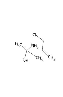 C=CCCl.CC(C)(N)O